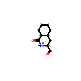 O=CC1CC2CCCCC2C(=O)N1